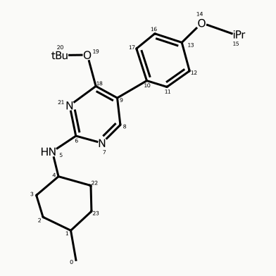 CC1CCC(Nc2ncc(-c3ccc(OC(C)C)cc3)c(OC(C)(C)C)n2)CC1